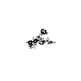 CC[C@H]1N(C(=O)n2cc(C#N)nc2C)C[C@]12CCCCN(c1nc(OC[C@@]34CCCN3C[C@H](F)C4)nc3c(F)c(-c4ccc(F)c5sc(N)c(C#N)c45)c(Cl)cc13)C2